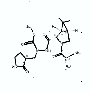 CC[C@@H](C)[C@H](N)C(=O)N1C[C@H]2[C@@H]([C@H]1C(=O)NN(C[C@@H]1CCNC1=O)C(=O)OC(C)(C)C)C2(C)C